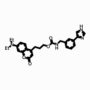 CCN(CC)c1ccc2c(CCCOC(=O)NCc3cccc(-c4c[nH]cn4)c3)cc(=O)oc2c1